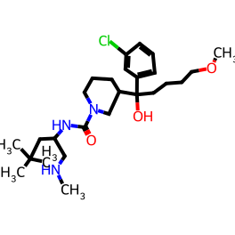 CNCC(CC(C)(C)C)NC(=O)N1CCCC(C(O)(CCCCOC)c2cccc(Cl)c2)C1